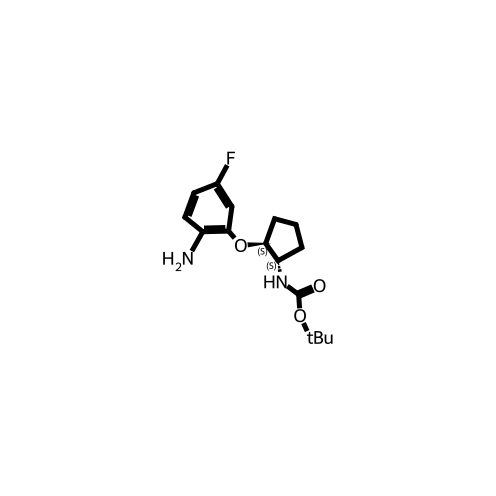 CC(C)(C)OC(=O)N[C@H]1CCC[C@@H]1Oc1cc(F)ccc1N